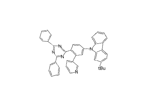 CC(C)(C)c1ccc2c3ccccc3n(-c3ccc(-c4nc(-c5ccccc5)nc(-c5ccccc5)n4)c(-c4cccnc4)c3)c2c1